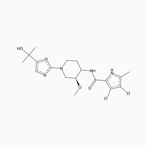 CO[C@H]1CN(c2ncc(C(C)(C)O)o2)CCC1NC(=O)c1[nH]c(C)c(Cl)c1Cl